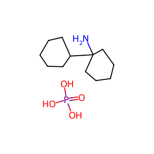 NC1(C2CCCCC2)CCCCC1.O=P(O)(O)O